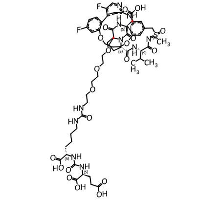 CC(C)[C@H](NC(=O)[C@@H]1CCCN1C(=O)[C@H](CC(=O)O)NC(=O)CCOCCOCCOCCNC(=O)NCCCC[C@H](NC(=O)N[C@@H](CCC(=O)O)C(=O)O)C(=O)O)C(=O)N=[S@](C)(=O)Cc1cc2nc(c1)OCCCOc1cc(F)ccc1-c1cc(ncc1F)N2